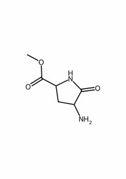 COC(=O)C1CC(N)C(=O)N1